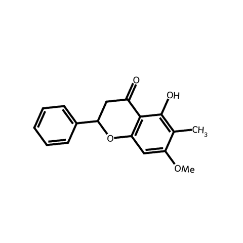 COc1cc2c(c(O)c1C)C(=O)CC(c1ccccc1)O2